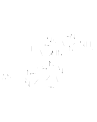 COc1ncc(-c2cccc3nc([C@@H](C)Nc4nc(N)ncc4C#N)n(-c4cccc(F)c4)c(=O)c23)cn1